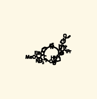 C=CC(=O)N1CC[C@H](C(=O)N(C)C(C(=O)N[C@H]2Cc3nc(cs3)-c3ccc4c(c3)c(c(C(/C=C\C)=C(/N)[C@H](C)OC)n4CC)CC(C)(C)COC(=O)[C@@H]3CCCN(N3)C2=O)C(C)C)C1